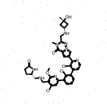 COc1nc(-c2cccc(-c3ccnc(-c4cc5c(=O)n(C)c(CN[C@H]6C[C@@](C)(O)C6)nn5c4)c3Cl)c2Cl)cc(Cl)c1CNC[C@@H]1CCC(=O)N1